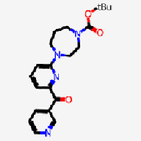 CC(C)(C)OC(=O)N1CCCN(c2cccc(C(=O)c3cccnc3)n2)CC1